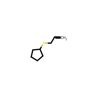 C=CCSC1C[CH]CC1